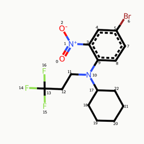 O=[N+]([O-])c1cc(Br)ccc1N(CCC(F)(F)F)C1CCCCC1